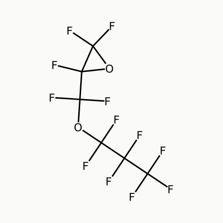 FC(F)(F)C(F)(F)C(F)(F)OC(F)(F)C1(F)OC1(F)F